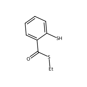 CCSC(=O)c1ccccc1S